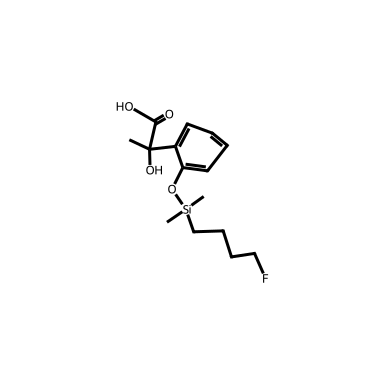 CC(O)(C(=O)O)c1ccccc1O[Si](C)(C)CCCCF